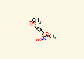 COC(=O)/C(=N/O)SCc1ccc(CSC(C)=O)cc1